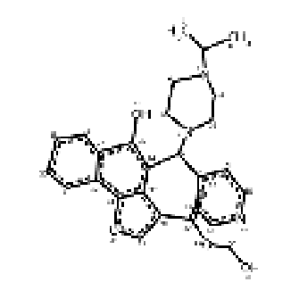 CC(C)N1CCN(C(c2ccncc2)c2c(O)c3ccccc3c3occ(C(=O)OCO)c23)CC1